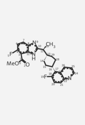 COC(=O)c1c(F)ccc2nc([C@@H](C)[C@H]3CC[C@@H](c4c(F)ccc5ncccc54)CC3)[nH]c12